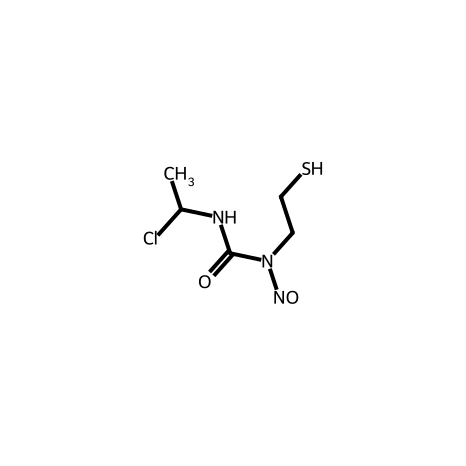 CC(Cl)NC(=O)N(CCS)N=O